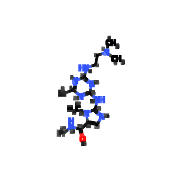 CCc1nc(NCCN(C)C)nc(Nc2ncc(C(=O)NC(C)C)n2C)n1